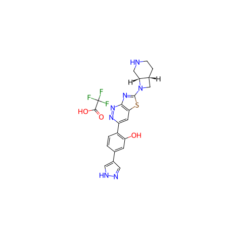 O=C(O)C(F)(F)F.Oc1cc(-c2cn[nH]c2)ccc1-c1cc2sc(N3C[C@H]4CCNC[C@H]43)nc2nn1